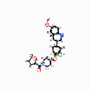 COc1ccc2ncc(-c3ccc(OC4CCN(C(=O)[C@H]5CCCO5)CC4)cc3)cc2c1.Cl